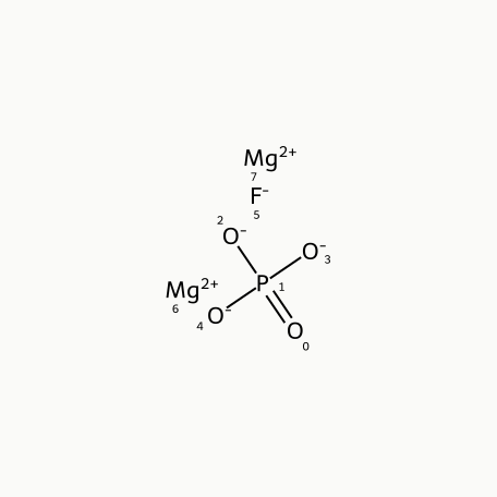 O=P([O-])([O-])[O-].[F-].[Mg+2].[Mg+2]